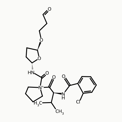 CC(C)[C@H](NC(=O)c1ccccc1Cl)C(=O)[N+]1(C(=O)N[C@@H]2CC[C@@H](OCCC=O)O2)CCCC1